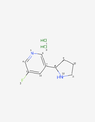 Cl.Cl.Fc1cncc(C2CCCN2)c1